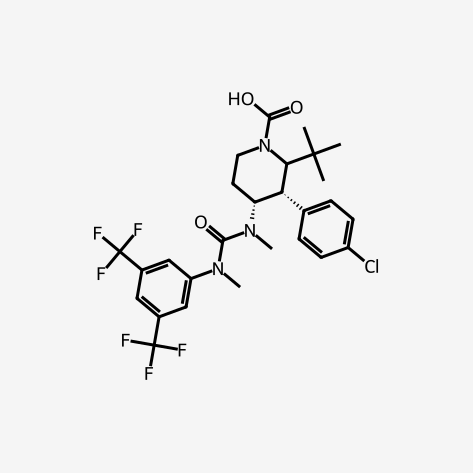 CN(C(=O)N(C)[C@@H]1CCN(C(=O)O)C(C(C)(C)C)[C@@H]1c1ccc(Cl)cc1)c1cc(C(F)(F)F)cc(C(F)(F)F)c1